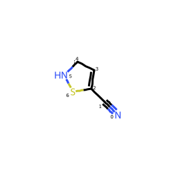 N#CC1=C[C]NS1